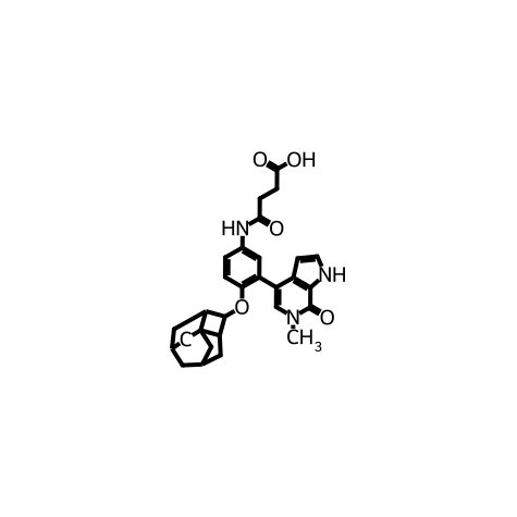 Cn1cc(-c2cc(NC(=O)CCC(=O)O)ccc2OC2C3CC4CC5CC2C3(C4)C5)c2cc[nH]c2c1=O